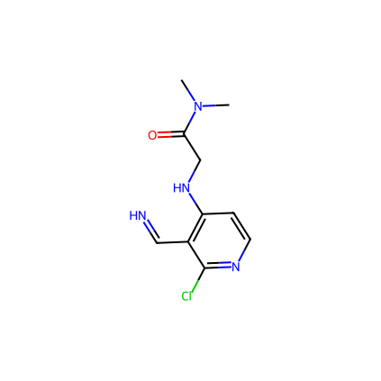 CN(C)C(=O)CNc1ccnc(Cl)c1C=N